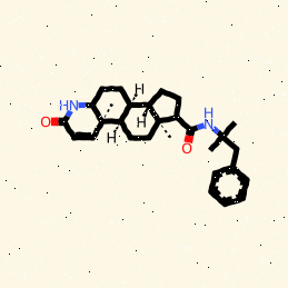 CC(C)(Cc1ccccc1)NC(=O)C1CC[C@H]2[C@@H]3CCC4NC(=O)C=C[C@]4(C)[C@@H]3CC[C@]12C